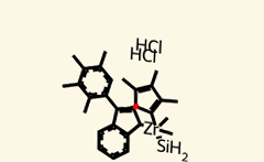 CC1=C(C)C(C)[C]([Zr]([CH3])([CH3])(=[SiH2])[CH]2C=C(c3cc(C)c(C)c(C)c3C)c3ccccc32)=C1C.Cl.Cl